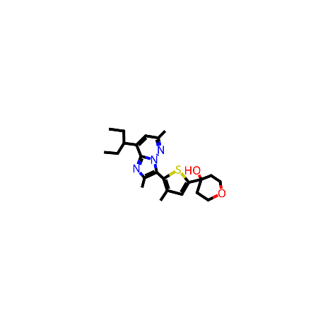 CCC(CC)c1cc(C)nn2c(-c3sc(C4(O)CCOCC4)cc3C)c(C)nc12